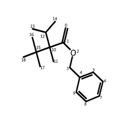 C=C(OCc1ccccc1)C(C)(C(C)C)C(C)(C)C